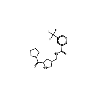 O=C(NCC1CNC(C(=O)N2CCCC2)C1)c1cccc(C(F)(F)F)c1